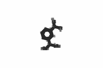 CCCCN(CCCC)c1cccc(N(CC)CC)c1